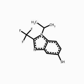 CC(C)n1c(C(F)(F)F)nc2cc(S)ccc21